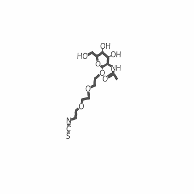 CC(=O)NC1[C@H](OCCOCCOCCN=C=S)OC(CO)[C@H](O)[C@@H]1O